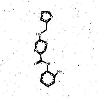 Nc1ccccc1NC(=O)c1cnc(NCc2cccs2)cn1